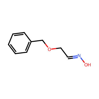 ON=[C]COCc1ccccc1